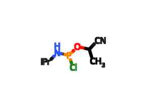 CC(C)NP(Cl)OC(C)C#N